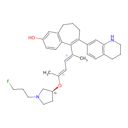 C/C(=C\C=C(/C)C1=C(c2ccc3c(c2)NCCC3)CCCc2cc(O)ccc21)O[C@H]1CCN(CCCF)C1